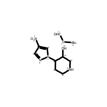 CC(C)(C)OC=O.O=[N+]([O-])c1cnn(C2CCNCC2O)c1